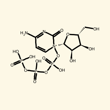 NC1=NC(=O)[N+](OP(=O)(O)OP(=O)(O)OP(=O)(O)O)([C@@H]2O[C@H](CO)[C@@H](O)[C@H]2O)C=C1